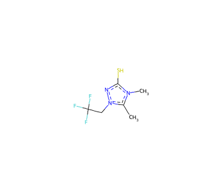 Cc1n(C)c(S)n[n+]1CC(F)(F)F